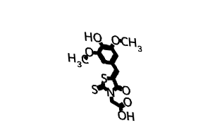 COc1cc(/C=C2\SC(=S)N(CC(=O)O)C2=O)cc(OC)c1O